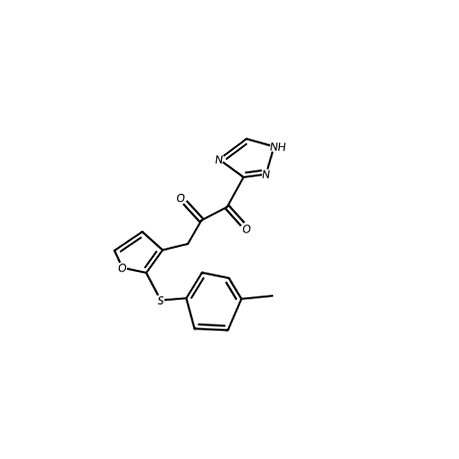 Cc1ccc(Sc2occc2CC(=O)C(=O)c2nc[nH]n2)cc1